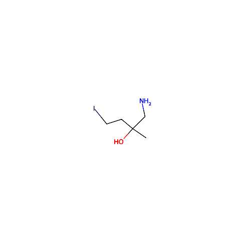 CC(O)(CN)CCI